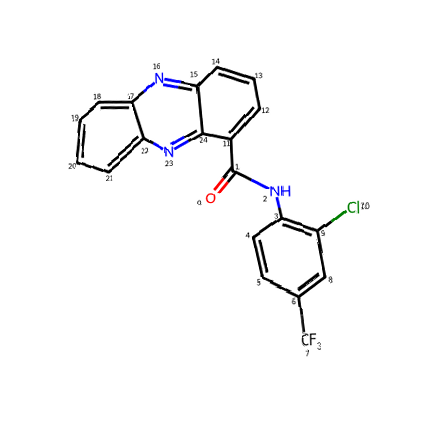 O=C(Nc1ccc(C(F)(F)F)cc1Cl)c1cccc2nc3ccccc3nc12